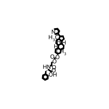 C[C@]12CC[C@H](OC(=O)OCC(=O)N[C@@H](Cc3ccccc3)C(=O)O)CC1=CC[C@@H]1[C@@H]2CC[C@]2(C)C(c3cccnc3)=CC[C@@H]12